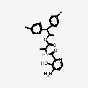 CC(NC(=O)c1nccc(N)c1O)C(=O)OC(C)C(c1ccc(F)cc1)c1ccc(F)cc1